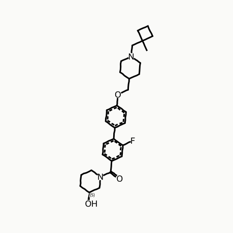 CC1(CN2CCC(COc3ccc(-c4ccc(C(=O)N5CCC[C@H](O)C5)cc4F)cc3)CC2)CCC1